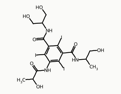 CC(CO)NC(=O)c1c(I)c(NC(=O)C(C)O)c(I)c(C(=O)NC(CO)CO)c1I